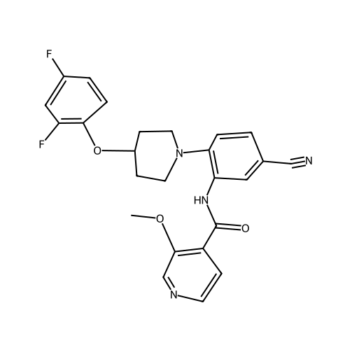 COc1cnccc1C(=O)Nc1cc(C#N)ccc1N1CCC(Oc2ccc(F)cc2F)CC1